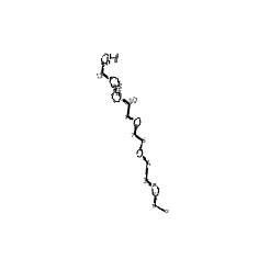 CCOCCOCCOCCOOCO